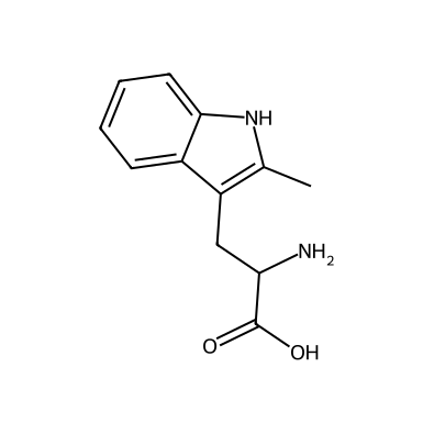 Cc1[nH]c2ccccc2c1CC(N)C(=O)O